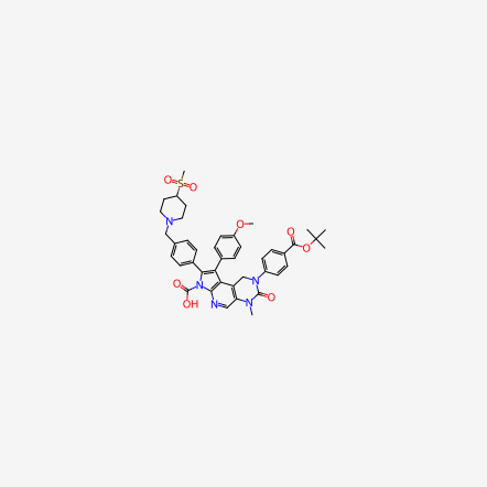 COc1ccc(-c2c(-c3ccc(CN4CCC(S(C)(=O)=O)CC4)cc3)n(C(=O)O)c3ncc4c(c23)CN(c2ccc(C(=O)OC(C)(C)C)cc2)C(=O)N4C)cc1